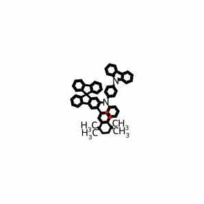 CC1(C)CCC(C)(C)c2cc(-c3cc4c(cc3N(c3ccccc3)c3ccc(-n5c6ccccc6c6ccccc65)cc3)C3(c5ccccc5-c5ccccc53)c3ccccc3-4)ccc21